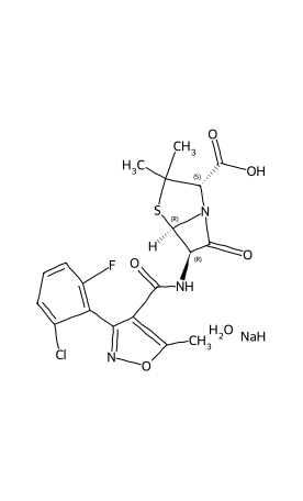 Cc1onc(-c2c(F)cccc2Cl)c1C(=O)N[C@@H]1C(=O)N2[C@@H]1SC(C)(C)[C@@H]2C(=O)O.O.[NaH]